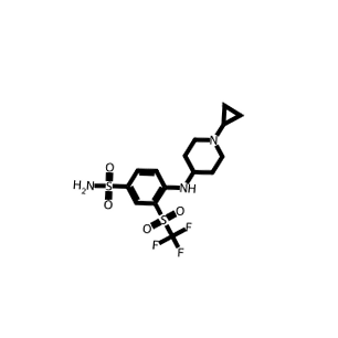 NS(=O)(=O)c1ccc(NC2CCN(C3CC3)CC2)c(S(=O)(=O)C(F)(F)F)c1